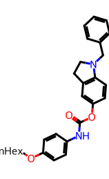 CCCCCCOc1ccc(NC(=O)Oc2ccc3c(c2)CCN3Cc2ccccc2)cc1